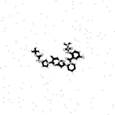 Cc1cn2nc([C@@H]3CCCCN3C(=O)c3cc(Cl)ccc3NS(=O)(=O)N(C)C)cc2nc1N1CC[C@H](NC(=O)OC(C)(C)C)C1